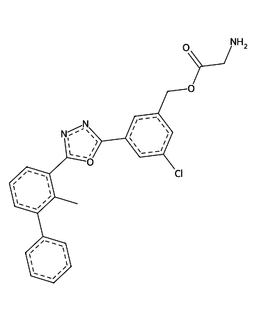 Cc1c(-c2ccccc2)cccc1-c1nnc(-c2cc(Cl)cc(COC(=O)CN)c2)o1